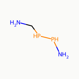 NCPPN